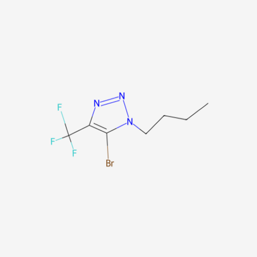 CCCCn1nnc(C(F)(F)F)c1Br